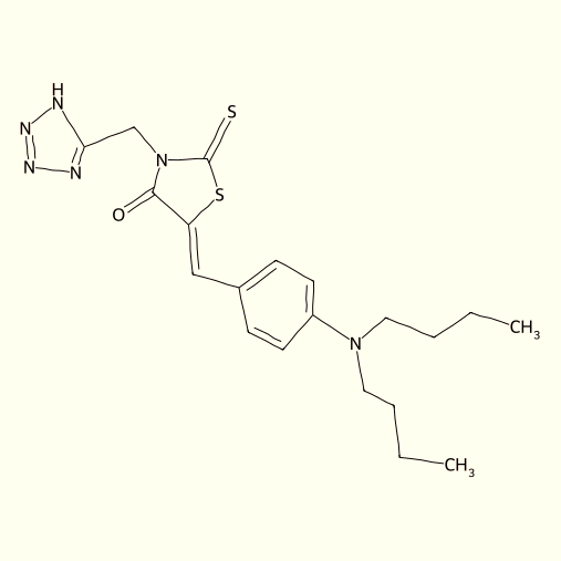 CCCCN(CCCC)c1ccc(/C=C2\SC(=S)N(Cc3nnn[nH]3)C2=O)cc1